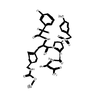 COc1ccc(CS(=O)(=O)[C@@H]2C[C@@H](C(=O)NC(C(=O)C(F)(F)F)C(C)C)N(C(=O)C(Cc3ccc(CNC(=O)OC(C)(C)C)cc3)NC(=O)C(F)(F)c3cccc(Cl)c3)C2)cc1